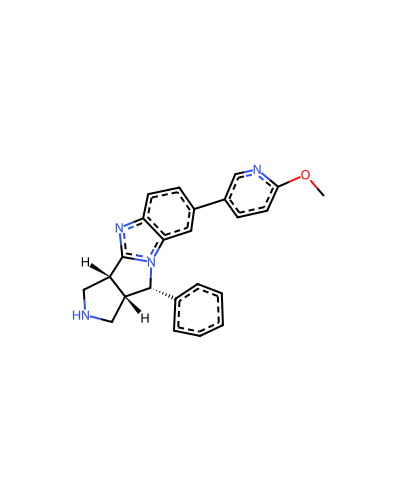 COc1ccc(-c2ccc3nc4n(c3c2)[C@H](c2ccccc2)[C@@H]2CNC[C@H]42)cn1